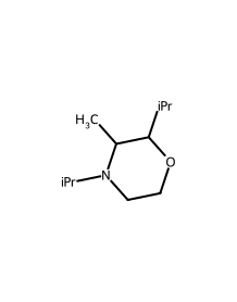 CC(C)C1OCCN(C(C)C)C1C